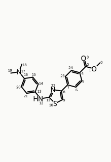 COC(=O)c1ccc(-c2csc(Nc3ccc(N(C)C)cc3)n2)cc1